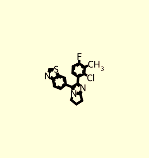 Cc1c(F)ccc(-c2nc3n(c2-c2ccc4ncsc4c2)CCC3)c1Cl